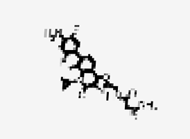 Cc1c(-c2cc(F)c(N)cc2F)ccc2c3oc(CNC(=O)C[C@@H](C)N)nc3c(=O)n(C3CC3)c12